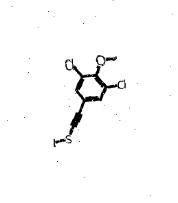 COc1c(Cl)cc(C#CSI)cc1Cl